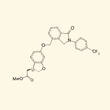 COC(=O)C[C@@H]1COc2cc(OCc3cccc4c3CN(c3ccc(C(F)(F)F)cc3)C4=O)ccc21